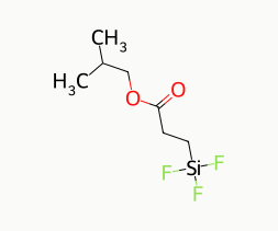 CC(C)COC(=O)CC[Si](F)(F)F